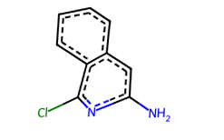 Nc1cc2ccccc2c(Cl)n1